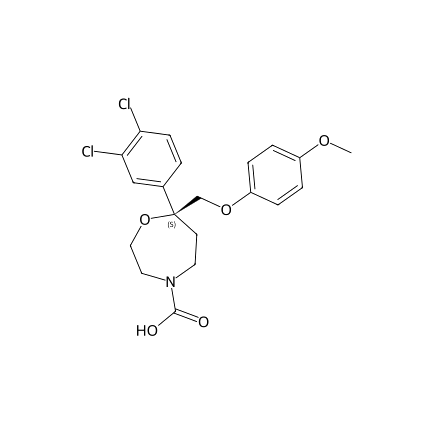 COc1ccc(OC[C@@]2(c3ccc(Cl)c(Cl)c3)CCN(C(=O)O)CCO2)cc1